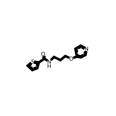 O=C(NCCCOc1ccncc1)c1cccs1